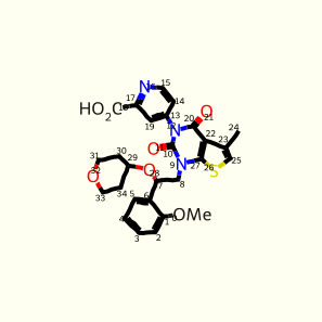 COc1ccccc1C(Cn1c(=O)n(-c2ccnc(C(=O)O)c2)c(=O)c2c(C)csc21)OC1CCOCC1